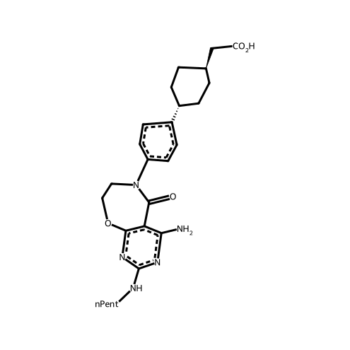 CCCCCNc1nc(N)c2c(n1)OCCN(c1ccc([C@H]3CC[C@H](CC(=O)O)CC3)cc1)C2=O